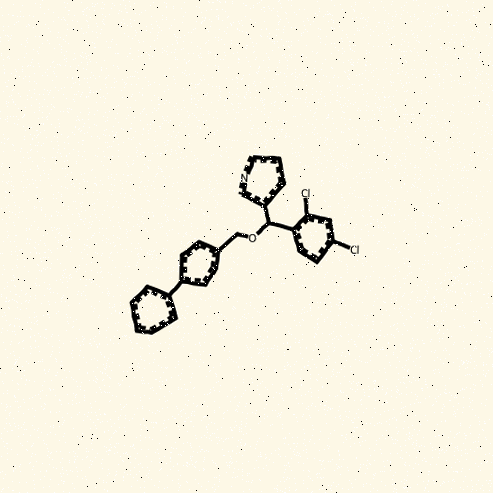 Clc1ccc(C(OCc2ccc(-c3ccccc3)cc2)c2cccnc2)c(Cl)c1